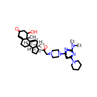 CCN(CC)c1nc(N2CCCCC2)cc(N2CCN(CC(=O)[C@H]3CC[C@H]4[C@@H]5CCC6=CC(=O)CC(O)[C@]6(C)C5=CC[C@]34C)CC2)n1